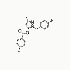 Cc1cc(OC(=O)c2ccc(F)cc2)n(Cc2ccc(F)cc2)n1